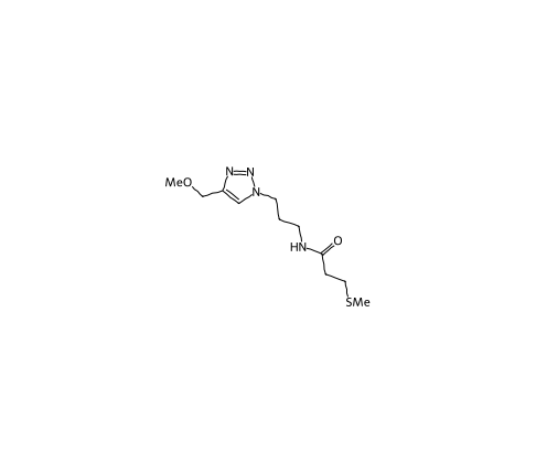 COCc1cn(CCCNC(=O)CCSC)nn1